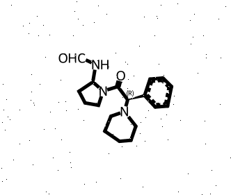 O=CNC1CCCN1C(=O)[C@@H](c1ccccc1)N1CCCCC1